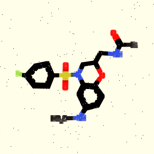 CCC(=O)NCC1CN(S(=O)(=O)c2ccc(F)cc2)c2cc(NC(=O)O)ccc2O1